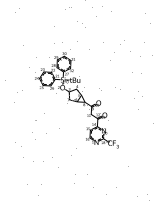 CC(C)(C)[Si](OC1CC2C(C1)C2C(=O)CC(=O)c1ccnc(C(F)(F)F)n1)(c1ccccc1)c1ccccc1